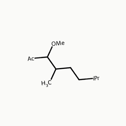 COC(C(C)=O)C(C)CCC(C)C